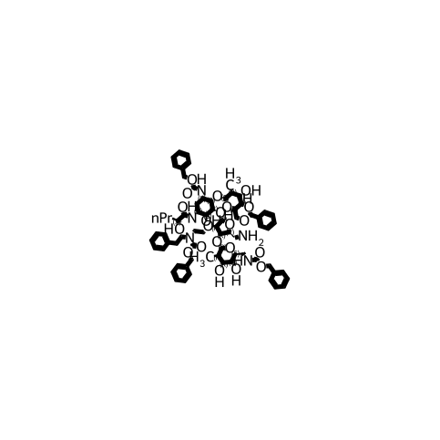 CCC[C@H](O)C(=O)N[C@@H]1C[C@H](NC(=O)OCc2ccccc2)[C@@H](O[C@H]2O[C@@H]3COC(c4ccccc4)O[C@H]3[C@H](O)[C@H]2C)[C@H](O[C@@H]2O[C@H](CN)[C@@H](O[C@H]3O[C@@H](CNC(=O)OCc4ccccc4)[C@@H](O)[C@H](O)[C@H]3C)[C@H]2OCCN(CCc2ccccc2)C(=O)OCc2ccccc2)[C@H]1O